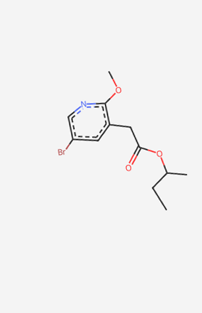 CCC(C)OC(=O)Cc1cc(Br)cnc1OC